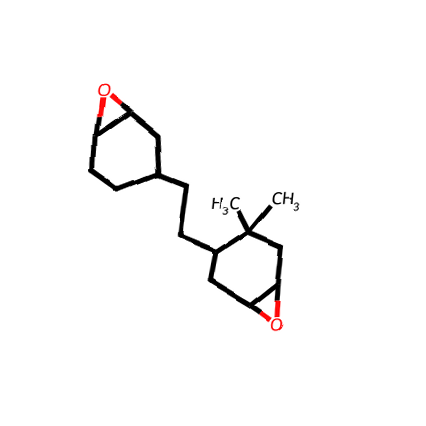 CC1(C)CC2OC2CC1CCC1CCC2OC2C1